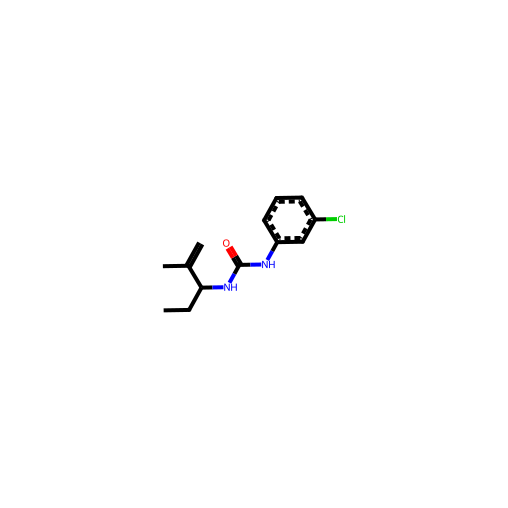 C=C(C)C(CC)NC(=O)Nc1cccc(Cl)c1